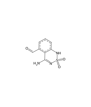 NC1=NS(=O)(=O)Nc2cccc(C=O)c21